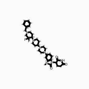 Cn1c(=O)n(C2CCC(=O)NC2=O)c2ccc(N3CCN(C4CCN(C5CCN(Cc6ccccc6)CC5(F)F)CC4)CC3)cc21